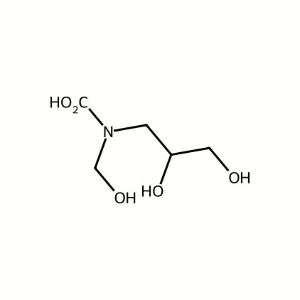 O=C(O)N(CO)CC(O)CO